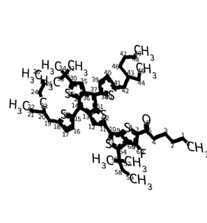 CCCCCC(=O)c1sc2c(-c3cc4c(-c5ccc(CC(CC)CCCC)s5)c5sc(C(C)(C)C)cc5c(-c5ccc(CC(CC)CCCC)s5)c4s3)sc(C(C)(C)CC)c2c1F